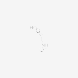 Cc1ccccc1NCCCCCOc1ccc(O)cc1